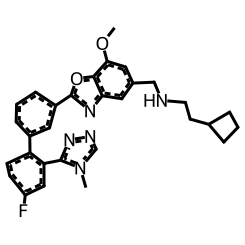 COc1cc(CNCCC2CCC2)cc2nc(-c3cccc(-c4ccc(F)cc4-c4nncn4C)c3)oc12